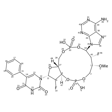 CO[C@@H]1COP(=O)(S)O[C@H]2C(F)[C@H](n3cc(-c4ccccc4)c(=O)[nH]c3=O)O[C@@H]2COP(=O)(O)O[C@@H](n2cnc3c(N)ncnc32)[C@@H]1F